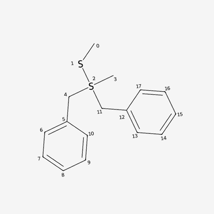 CSS(C)(Cc1ccccc1)Cc1ccccc1